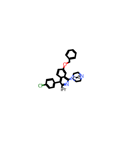 CC(C)c1nc([N+]23CCN(CC2)CC3)c2cc(OCc3ccccc3)ccc2c1-c1ccc(Cl)cc1